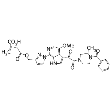 C=C(CC(=O)OCc1ccn(-c2ncc(OC)c3c(C(=O)C(=O)N4CCN(C(=O)c5ccccc5)C(C)C4)c[nH]c23)n1)C(=O)O